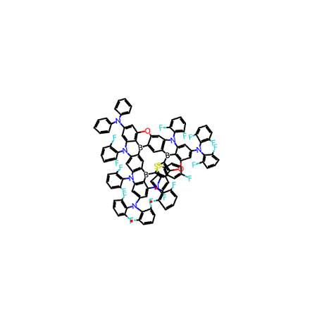 Fc1ccc2sc3c(c2c1)Oc1cc(N(c2c(F)cccc2F)c2c(F)cccc2F)cc2c1B3c1cc3c(cc1N2c1c(F)cccc1F)Oc1cc(N(c2ccccc2)c2ccccc2)cc2c1B3c1cc3c(cc1N2c1c(F)cccc1F)N(c1c(F)cccc1F)c1cc(N(c2c(F)cccc2F)c2c(F)cccc2F)cc2c1B3c1sc3ccc(F)cc3c1N2c1c(F)cccc1F